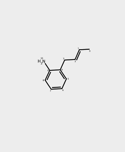 C/C=C/Cc1ccccc1N